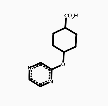 O=C(O)C1CCC(Oc2cnccn2)CC1